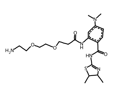 CC1N=C(NC(=O)c2ccc(N(C)C)cc2NC(=O)CCOCCOCCN)SC1C